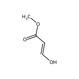 COC(=O)C=CO